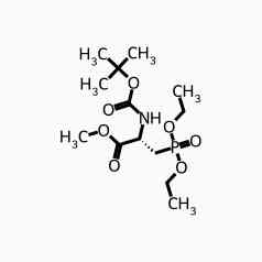 CCOP(=O)(C[C@@H](NC(=O)OC(C)(C)C)C(=O)OC)OCC